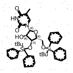 Cc1cn([C@@H]2O[C@H](CO[Si](c3ccccc3)(c3ccccc3)C(C)(C)C)[C@@H](O[Si](c3ccccc3)(c3ccccc3)C(C)(C)C)[C@H]2O)c(=O)[nH]c1=O